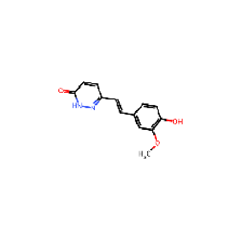 COc1cc(C=Cc2ccc(=O)[nH]n2)ccc1O